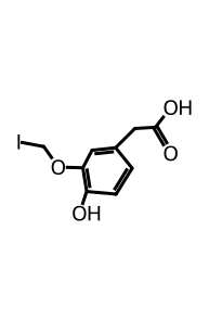 O=C(O)Cc1ccc(O)c(OCI)c1